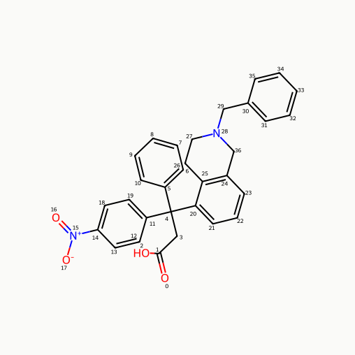 O=C(O)CC(c1ccccc1)(c1ccc([N+](=O)[O-])cc1)c1cccc2c1CCN(Cc1ccccc1)C2